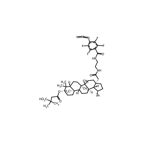 CC(C)[C@@H]1CC[C@]2(CC(=O)NCCNC(=O)c3c(F)c(F)c(N=[N+]=[N-])c(F)c3F)CC[C@]3(C)[C@H](CC[C@@H]4[C@@]5(C)CC[C@H](OC(=O)CC(C)(C)C(=O)O)C(C)(C)[C@@H]5CC[C@]43C)[C@@H]12